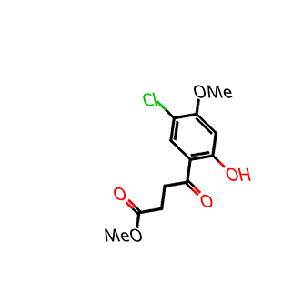 COC(=O)CCC(=O)c1cc(Cl)c(OC)cc1O